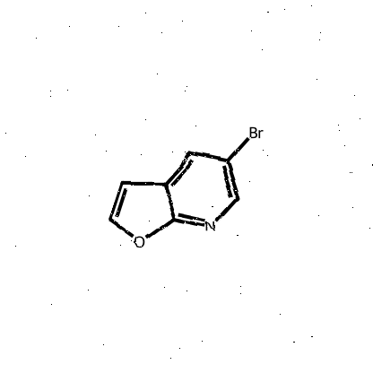 Brc1cnc2occc2c1